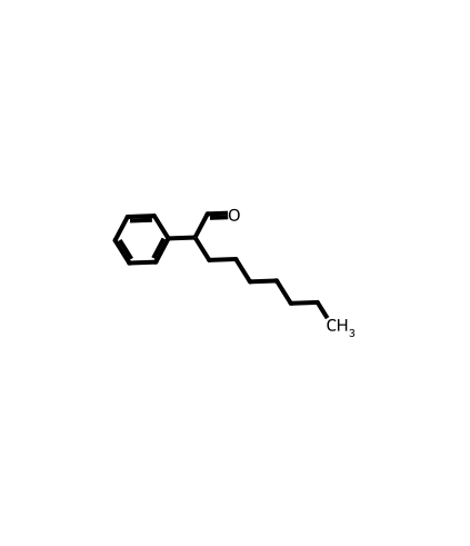 CCCCCCCC(C=O)c1ccccc1